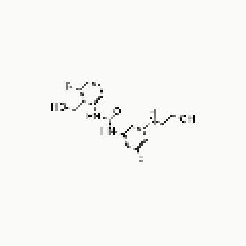 O=C(Nc1cc(F)cc(NCCO)c1)Nc1cccc(F)c1CO